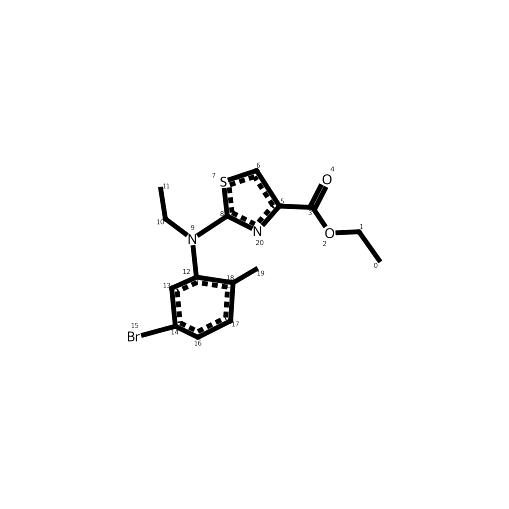 CCOC(=O)c1csc(N(CC)c2cc(Br)ccc2C)n1